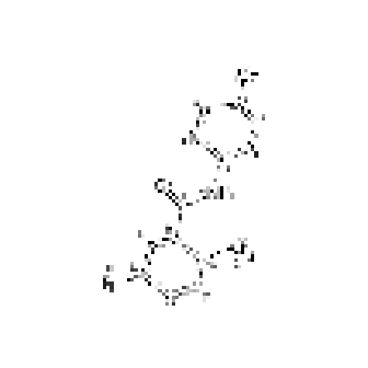 O=C(Nc1ccc(O)cn1)c1cc(Br)ccc1C(F)(F)F